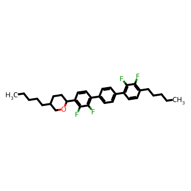 CCCCCc1ccc(-c2ccc(-c3ccc(C4CCC(CCCCC)CO4)c(F)c3F)cc2)c(F)c1F